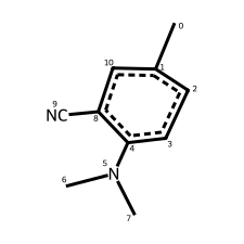 Cc1ccc(N(C)C)c(C#N)c1